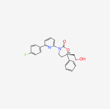 O=C1O[C@](CCO)(c2ccccc2)CCN1c1cccc(-c2ccc(F)cc2)n1